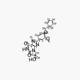 COc1cc(-c2nc3c(c(=O)[nH]c(=O)n3CC(C)(C)O)n2C)ccc1OCc1ccccc1